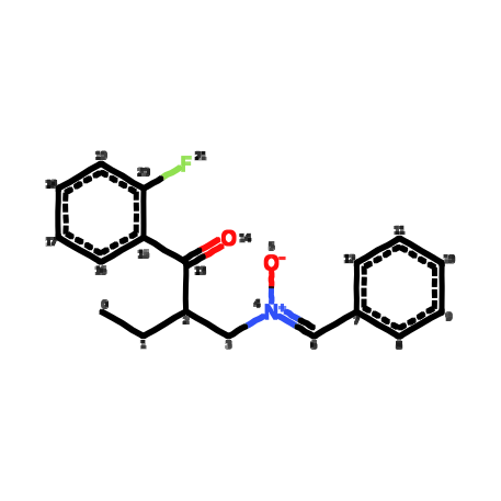 CCC(C[N+]([O-])=Cc1ccccc1)C(=O)c1ccccc1F